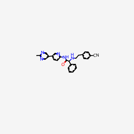 Cc1ncc(-c2ccc(NC(=O)C(NCCc3ccc(C#N)cc3)c3ccccc3)nc2)cn1